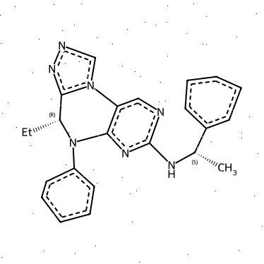 CC[C@@H]1c2nncn2-c2cnc(N[C@@H](C)c3ccccc3)nc2N1c1ccccc1